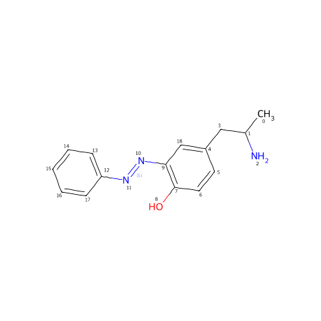 CC(N)Cc1ccc(O)c(/N=N/c2ccccc2)c1